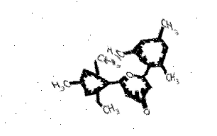 Cc1cc(C)c(-c2cc(=O)cc(-c3c(C)cc(C)cc3C)o2)c(C)c1